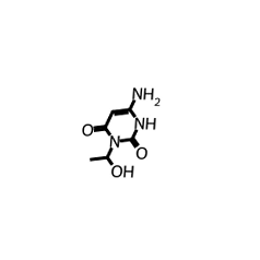 CC(O)n1c(=O)cc(N)[nH]c1=O